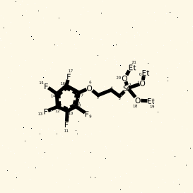 CCO[Si](CCCOc1c(F)c(F)c(F)c(F)c1F)(OCC)OCC